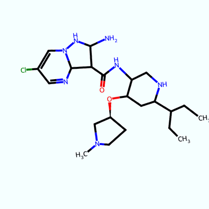 CCC(CC)C1CC(O[C@H]2CCN(C)C2)C(NC(=O)C2C(N)NN3C=C(Cl)C=NC23)CN1